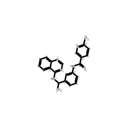 CC(Nc1ncnc2ccccc12)c1cccc(NC(=O)c2ccc(C(F)(F)F)nc2)c1